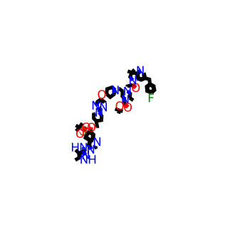 Cc1[nH]nc(Nc2ncnc3cc(OCC4CCN(c5ncc(OC6CCN(CC7CN(C(=O)OC(C)(C)C)C(C)CN7CC(=O)N7CC(C)(C)c8ncc(Cc9ccc(F)cc9)cc87)CC6)cn5)CC4)c(S(=O)(=O)C(C)(C)C)cc23)c1C